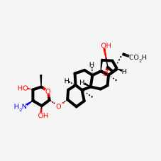 C[C@H]1O[C@H](O[C@H]2CC[C@@]3(C)[C@H](CC[C@@H]4[C@@H]3CC[C@]3(C)[C@@H]5CC[C@]43O[C@@H](O)[C@H]5CC(=O)O)C2)[C@@H](O)[C@@H](N)[C@@H]1O